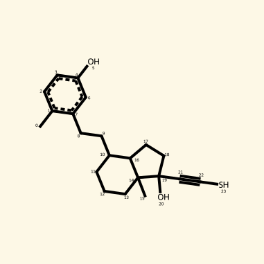 Cc1ccc(O)cc1CCC1CCCC2(C)C1CCC2(O)C#CS